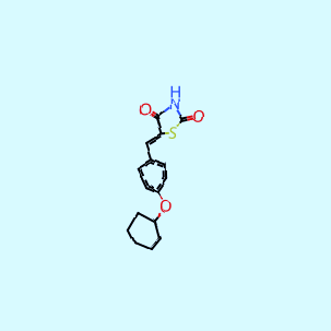 O=C1NC(=O)C(=Cc2ccc(OC3CCCCC3)cc2)S1